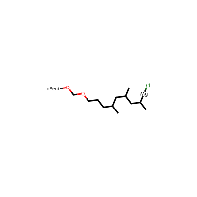 CCCCCOCOCCCC(C)CC(C)C[CH](C)[Mg][Cl]